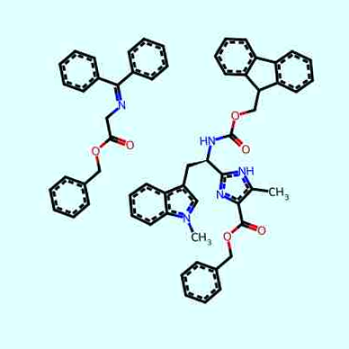 Cc1[nH]c([C@@H](Cc2cn(C)c3ccccc23)NC(=O)OCC2c3ccccc3-c3ccccc32)nc1C(=O)OCc1ccccc1.O=C(CN=C(c1ccccc1)c1ccccc1)OCc1ccccc1